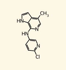 Cc1cnc(Nc2ccc(Cl)nc2)c2[nH]ccc12